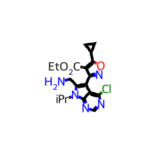 CCOC(=O)c1c(-c2c(CN)n(C(C)C)c3ncnc(Cl)c23)noc1C1CC1